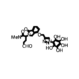 CNC(=O)C(CCC=O)N1Cc2c(OCc3cn(-c4c(O)c(O)c(O)c(O)c4O)nn3)cccc2C1=O